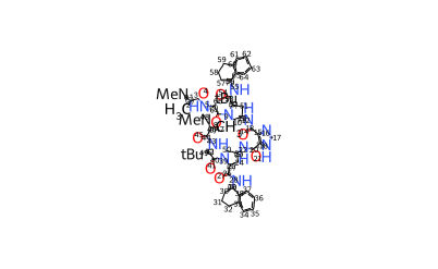 CN[C@@H](C)C(=O)N[C@H](C(=O)N1C[C@@H](NC(=O)c2nc[nH]c2C(=O)N[C@H]2C[C@@H](C(=O)N[C@@H]3CCCc4ccccc43)N(C(=O)[C@@H](NC(=O)[C@H](C)NC)C(C)(C)C)C2)C[C@H]1C(=O)N[C@@H]1CCCc2ccccc21)C(C)(C)C